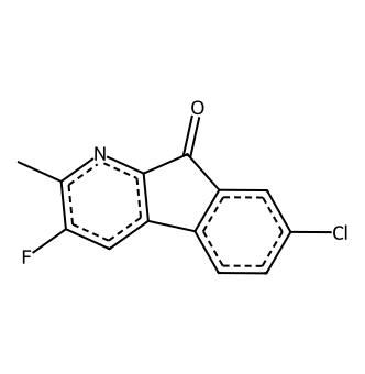 Cc1nc2c(cc1F)-c1ccc(Cl)cc1C2=O